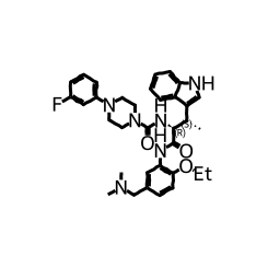 CCOc1ccc(CN(C)C)cc1NC(=O)[C@H](NC(=O)N1CCN(c2cccc(F)c2)CC1)[C@@H](C)c1c[nH]c2ccccc12